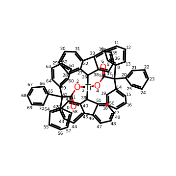 O=C([O][Ti]([O]C(=O)C(c1ccccc1)(c1ccccc1)c1ccccc1)([CH]1c2ccccc2-c2ccccc21)[CH]1c2ccccc2-c2ccccc21)C(c1ccccc1)(c1ccccc1)c1ccccc1